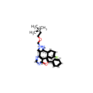 C[Si](C)(C)CCOCn1cc(-c2ncnc3oc(-c4ccccc4)cc23)c(-c2ccc(F)cc2)n1